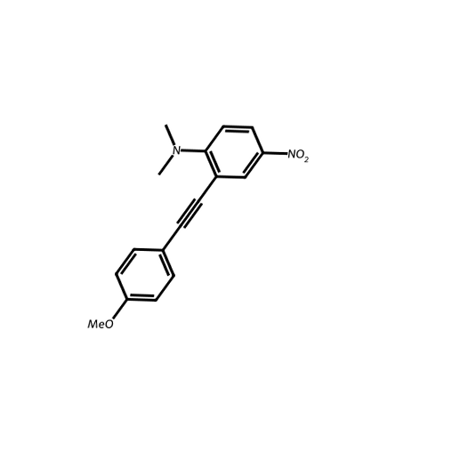 COc1ccc(C#Cc2cc([N+](=O)[O-])ccc2N(C)C)cc1